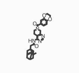 CC12C=C3CC(C1)CC(CC(=O)Nc1ncnc4c1CCN(C(=O)c1ccc5c(c1)OCCO5)C4)(C3)C2